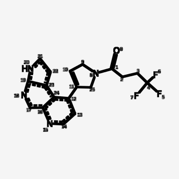 O=C(CCC(F)(F)F)N1CC=C(c2ccnc3cnc4[nH]ccc4c23)C1